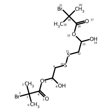 CC(C)(Br)C(=O)OC(O)CSSCC(O)OC(=O)C(C)(C)Br